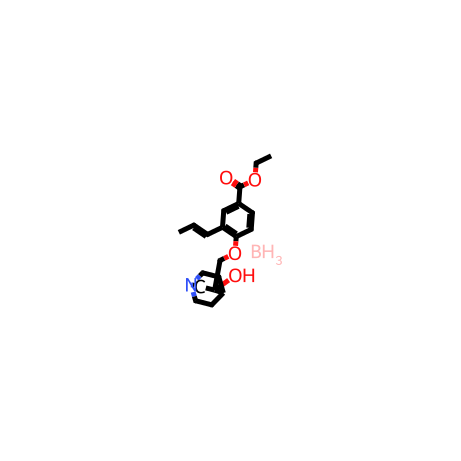 B.CC=Cc1cc(C(=O)OCC)ccc1OCC1(O)CN2CCC1CC2